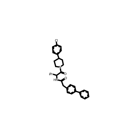 CC(C)C(NC(=O)Cc1ccc(-c2ccccc2)cc1)C(=O)N1CCC(c2ccc(Cl)cc2)CC1